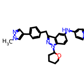 Cn1cc(-c2ccc(Cc3nn(C4CCCCO4)c4ccc(Nc5ccncc5)cc34)cc2)cn1